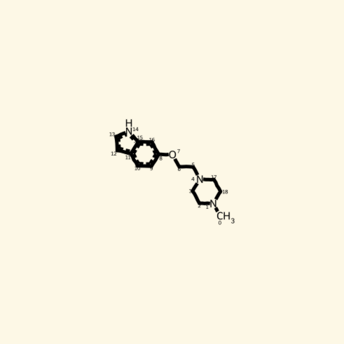 CN1CCN(CCOc2ccc3c[c][nH]c3c2)CC1